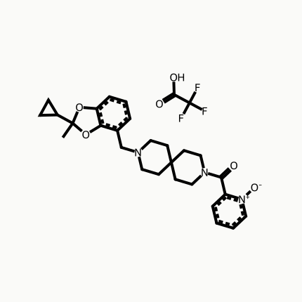 CC1(C2CC2)Oc2cccc(CN3CCC4(CC3)CCN(C(=O)c3cccc[n+]3[O-])CC4)c2O1.O=C(O)C(F)(F)F